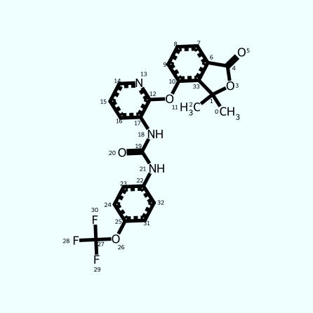 CC1(C)OC(=O)c2cccc(Oc3ncccc3NC(=O)Nc3ccc(OC(F)(F)F)cc3)c21